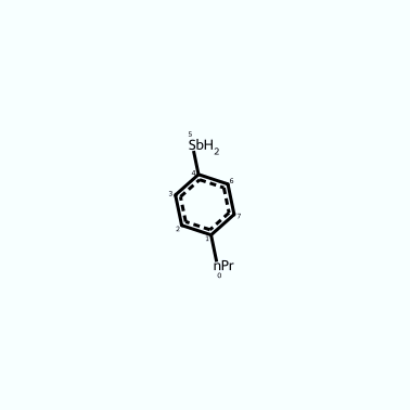 CCCc1cc[c]([SbH2])cc1